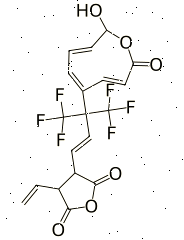 C=CC1C(=O)OC(=O)C1/C=C/C(C1=C/C=C/C(O)OC(=O)\C=C\1)(C(F)(F)F)C(F)(F)F